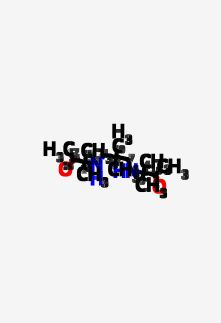 CC(=O)C(C)(C)NCC(C)(C)CNC(C)(C)C(C)=O